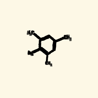 Cc1cc(C)[c]([Ag])c(C)c1